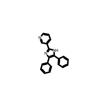 c1ccc(-c2nc(-c3cccnc3)[nH]c2-c2ccccc2)cc1